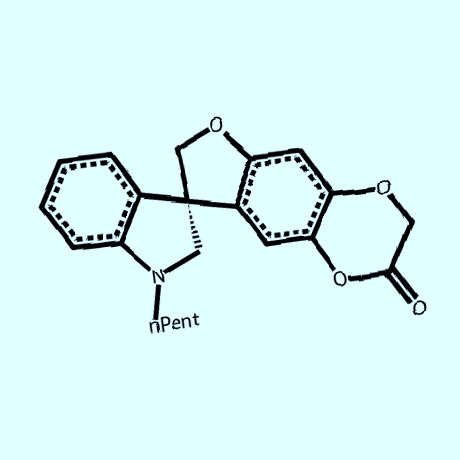 CCCCCN1C[C@@]2(COc3cc4c(cc32)OC(=O)CO4)c2ccccc21